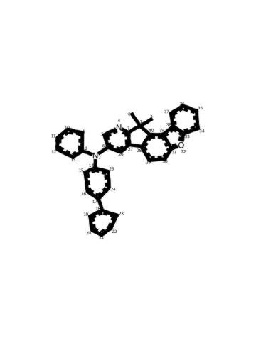 CC1(C)c2ncc(N(c3ccccc3)c3ccc(-c4ccccc4)cc3)cc2-c2ccc3oc4ccccc4c3c21